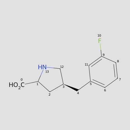 O=C(O)C1C[C@H](Cc2cccc(F)c2)CN1